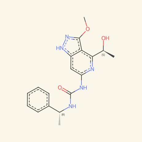 COc1n[nH]c2cc(NC(=O)N[C@H](C)c3ccccc3)nc([C@H](C)O)c12